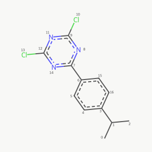 CC(C)c1ccc(-c2nc(Cl)nc(Cl)n2)cc1